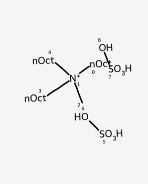 CCCCCCCC[N+](C)(CCCCCCCC)CCCCCCCC.O=S(=O)(O)O.O=S(=O)(O)O